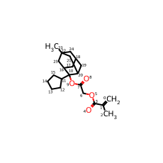 C=C(C)C(=O)OCC(=O)OC1(C2CCCC2)C2CC3CC1CC(C)(C3)C2